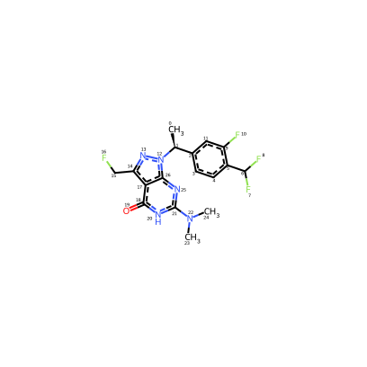 C[C@@H](c1ccc(C(F)F)c(F)c1)n1nc(CF)c2c(=O)[nH]c(N(C)C)nc21